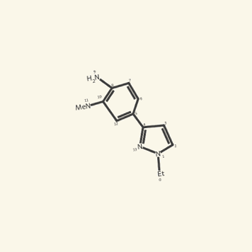 CCn1ccc(-c2ccc(N)c(NC)c2)n1